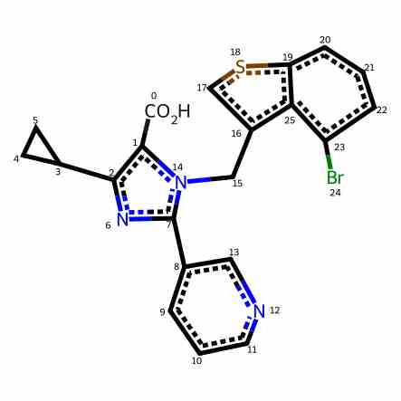 O=C(O)c1c(C2CC2)nc(-c2cccnc2)n1Cc1csc2cccc(Br)c12